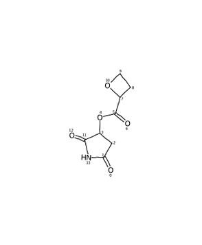 O=C1CC(OC(=O)C2CCO2)C(=O)N1